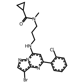 CN(CCCNc1cc(-c2ccccc2Cl)nc2c(Br)cnn12)C(=O)C1CC1